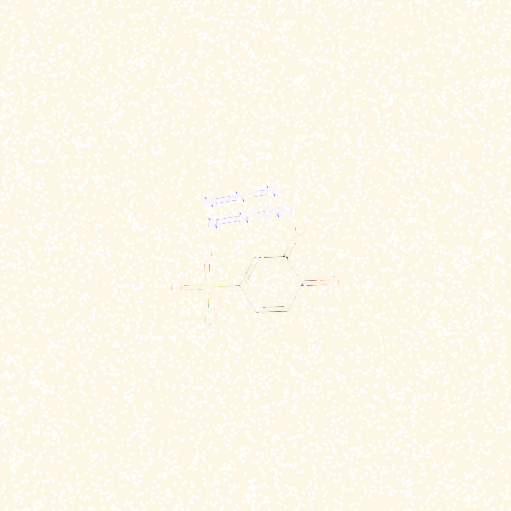 O=C1C=CC(S(=O)(=O)Cl)=CC1=O.[N-]=[N+]=N.[N-]=[N+]=[N-]